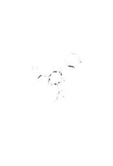 O=C(O)c1cc(C2=CCOCC2)nc(C2CC2)n1